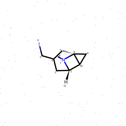 CN1[C@H]2CC(CI)C[C@@]13CC23